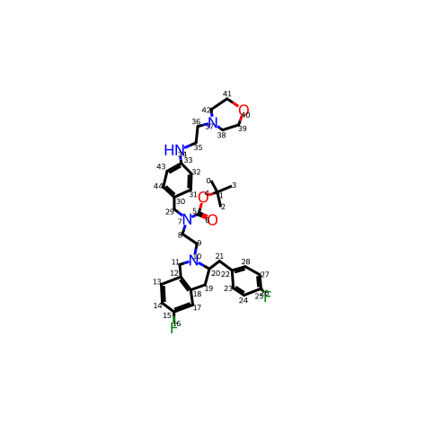 CC(C)(C)OC(=O)N(CCN1Cc2ccc(F)cc2CC1Cc1ccc(F)cc1)Cc1ccc(NCCN2CCOCC2)cc1